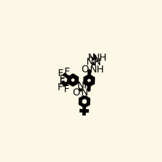 CC(C)(C)C1CCC(N(Cc2ccc(C(=O)Nc3nn[nH]n3)cc2)C(=O)Nc2ccc(C(F)(F)F)c(C(F)(F)F)c2)CC1